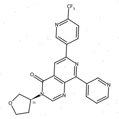 O=c1c2cc(-c3ccc(C(F)(F)F)nc3)nc(-c3cccnc3)c2ncn1[C@H]1CCOC1